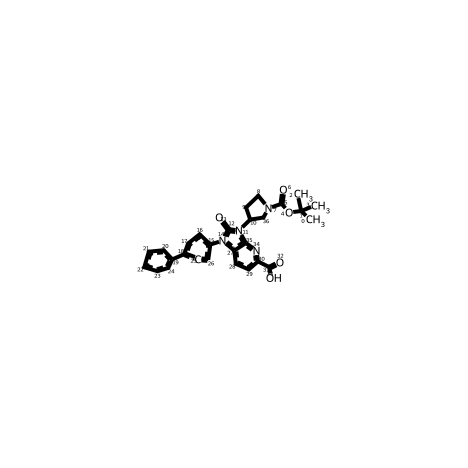 CC(C)(C)OC(=O)N1CCC(n2c(=O)n(-c3ccc(-c4ccccc4)cc3)c3ccc(C(=O)O)nc32)C1